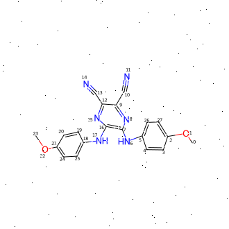 COc1ccc(Nc2nc(C#N)c(C#N)nc2Nc2ccc(OC)cc2)cc1